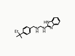 CCC(C)(C)c1ccc(CNCNc2nc3ccccc3[nH]2)cc1